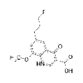 COc1cc(CCCF)cc2c(=O)c(C(=O)O)c[nH]c12